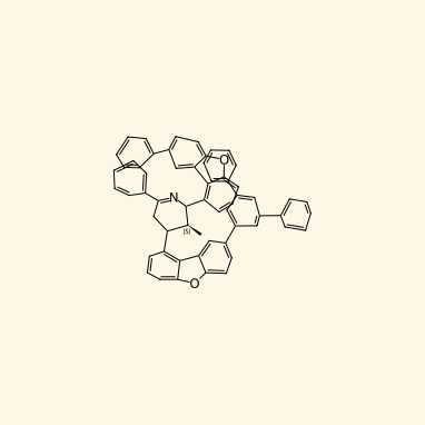 C[C@H]1C(c2cccc3oc4ccc(-c5cc(-c6ccccc6)cc(-c6ccccc6)c5)cc4c23)CC(c2ccccc2)=NC1c1cccc2oc3ccc(-c4ccccc4)cc3c12